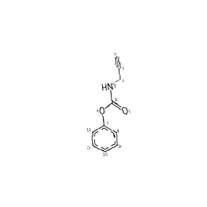 C#CCNC(=O)Oc1ccccc1